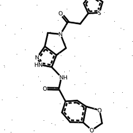 O=C(Nc1[nH]nc2c1CN(C(=O)Cc1cccs1)C2)c1ccc2c(c1)OCO2